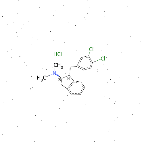 CN(C)[C@@H]1Cc2ccccc2[C@H]1Cc1ccc(Cl)c(Cl)c1.Cl